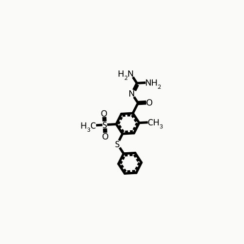 Cc1cc(Sc2ccccc2)c(S(C)(=O)=O)cc1C(=O)N=C(N)N